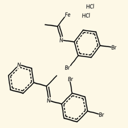 CC(=Nc1ccc(Br)cc1Br)c1cccnc1.C[C]([Fe])=Nc1ccc(Br)cc1Br.Cl.Cl